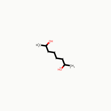 C[C](O)CCCC[C](C)O